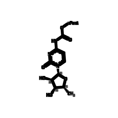 CCCCCOC(=O)Nc1ccn([C@@H]2O[C@H](C)[C@@H](O)[C@H]2O)c(=O)n1